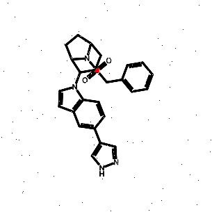 O=S(=O)(Cc1ccccc1)N1C2CCC1C(n1ccc3cc(-c4cn[nH]c4)ccc31)CC2